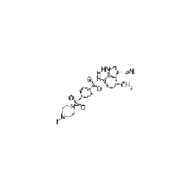 Cc1ccc(NS(=O)(=O)c2ccc(S(=O)(=O)N3CCN(I)CC3)cc2)c2[nH]cc(C#N)c12